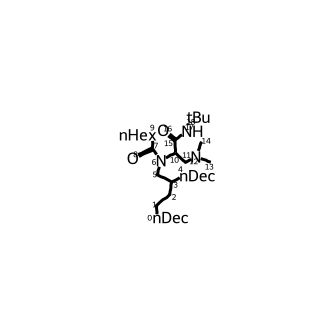 CCCCCCCCCCCCC(CCCCCCCCCC)CN(C(=O)CCCCCC)C(CN(C)C)C(=O)NC(C)(C)C